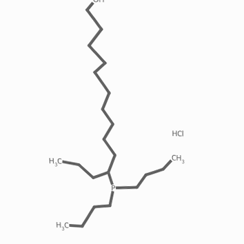 CCCCP(CCCC)C(CCC)CCCCCCCCCCO.Cl